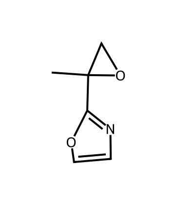 CC1(c2ncco2)CO1